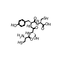 N[C@@H](CS)C(=O)N[C@@H](CO)C(=O)N[C@@H](Cc1ccc(O)cc1)C(=O)N[C@@H](CS)C(=O)O